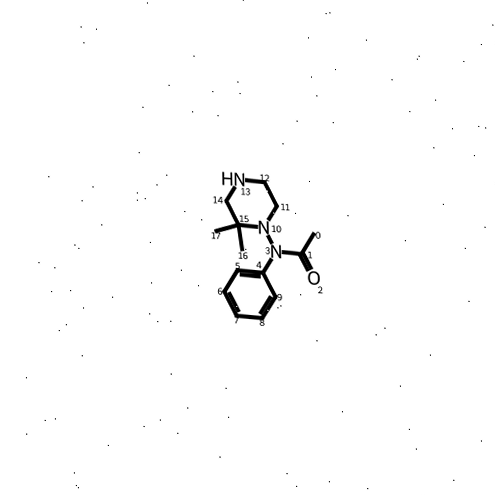 CC(=O)N(c1ccccc1)N1CCNCC1(C)C